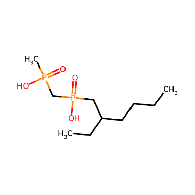 CCCCC(CC)CP(=O)(O)CP(C)(=O)O